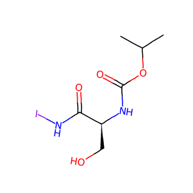 CC(C)OC(=O)N[C@@H](CO)C(=O)NI